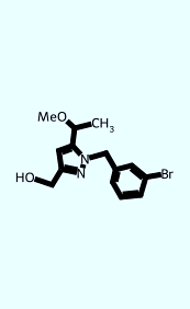 COC(C)c1cc(CO)nn1Cc1cccc(Br)c1